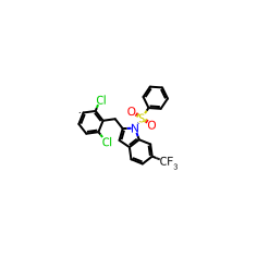 O=S(=O)(c1ccccc1)n1c(Cc2c(Cl)[c]ccc2Cl)cc2ccc(C(F)(F)F)cc21